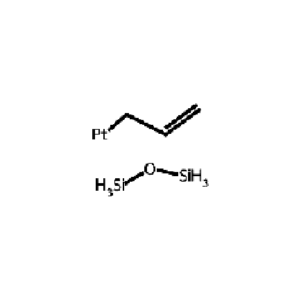 C=C[CH2][Pt].[SiH3]O[SiH3]